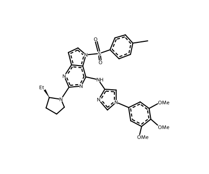 CC[C@@H]1CCCN1c1nc(Nc2cn(-c3cc(OC)c(OC)c(OC)c3)cn2)c2c(ccn2S(=O)(=O)c2ccc(C)cc2)n1